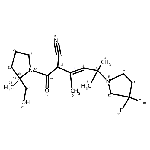 C/C(=C\C(C)(C)N1CCC(F)(F)C1)C(C#N)C(=O)N1CCC[C@]1(C)CO